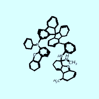 CNC1(Nc2ccccc2C2=CCCC3C2C2CCC=CC2C32c3cc(N(c4cccc5c4OC4C=CCCC54)C4CC=CCC4)c#cc3C3C=CC=CC32)CCC=C2C3C(C)CC=CC3SC21